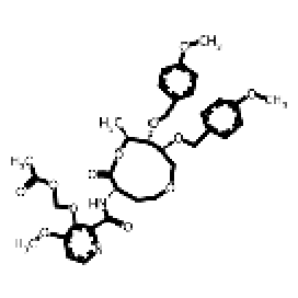 COc1ccc(CO[C@H]2[C@H](C)OC(=O)[C@@H](NC(=O)c3nccc(OC)c3OCOC(C)=O)CCOC[C@@H]2OCc2ccc(OC)cc2)cc1